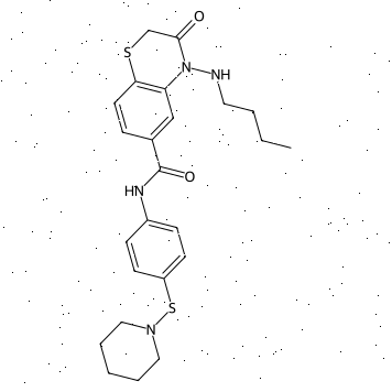 CCCCNN1C(=O)CSc2ccc(C(=O)Nc3ccc(SN4CCCCC4)cc3)cc21